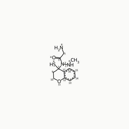 CNN(C(=O)CN)C1(S)CCOc2ccccc21